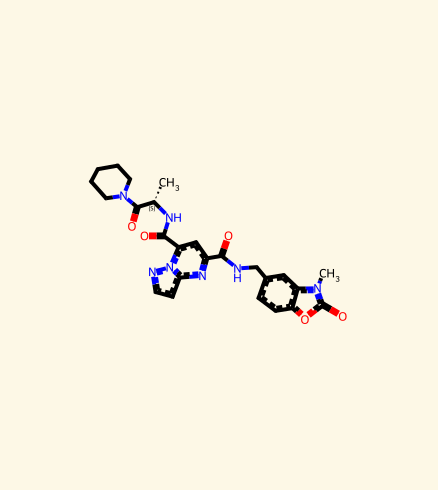 C[C@H](NC(=O)c1cc(C(=O)NCc2ccc3oc(=O)n(C)c3c2)nc2ccnn12)C(=O)N1CCCCC1